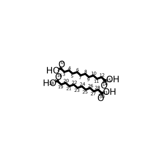 O=C(O)CCCCCCCCCCC(=O)O.O=C(O)CCCCCCCCCCC(=O)O